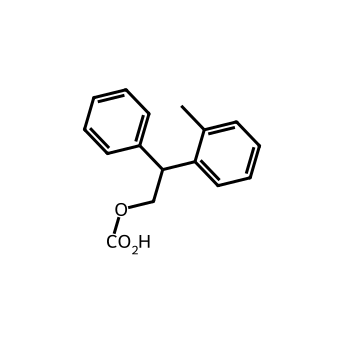 Cc1ccccc1C(COC(=O)O)c1ccccc1